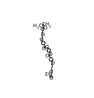 C=C(C)C(=O)OCCOCCOc1ccc(C(=O)Oc2ccc(OC(=O)c3ccc(OCCCCOCC4(CC)COC4)cc3)cc2)cc1